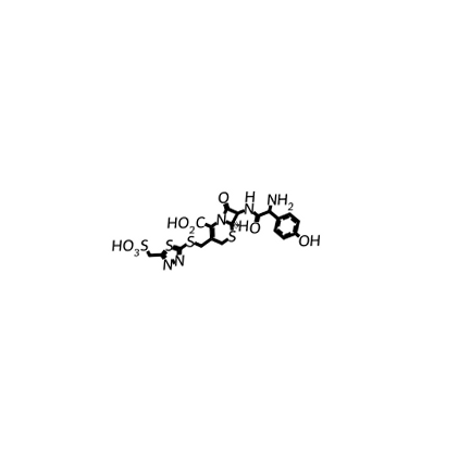 NC(C(=O)NC1C(=O)N2C(C(=O)O)=C(CSc3nnc(CS(=O)(=O)O)s3)CS[C@H]12)c1ccc(O)cc1